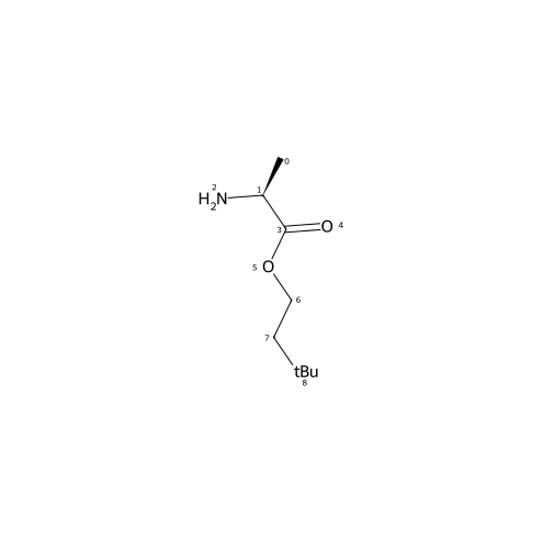 C[C@H](N)C(=O)OCCC(C)(C)C